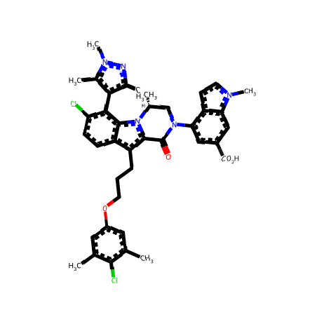 Cc1cc(OCCCc2c3n(c4c(-c5c(C)nn(C)c5C)c(Cl)ccc24)[C@H](C)CN(c2cc(C(=O)O)cc4c2ccn4C)C3=O)cc(C)c1Cl